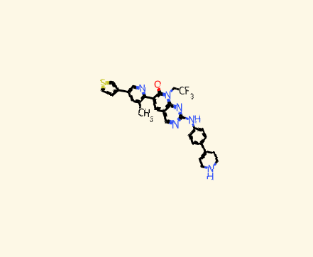 Cc1cc(-c2ccsc2)cnc1-c1cc2cnc(Nc3ccc(C4=CCNCC4)cc3)nc2n(CC(F)(F)F)c1=O